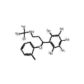 [2H]c1c([2H])c([2H])c(C(CCNC([2H])([2H])[2H])Oc2ccccc2C)c([2H])c1[2H]